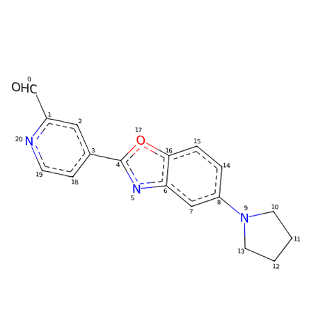 O=Cc1cc(-c2nc3cc(N4CCCC4)ccc3o2)ccn1